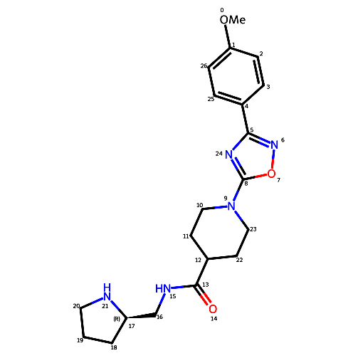 COc1ccc(-c2noc(N3CCC(C(=O)NC[C@H]4CCCN4)CC3)n2)cc1